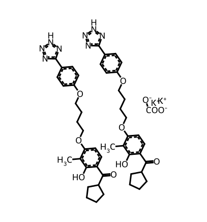 Cc1c(OCCCCOc2ccc(-c3nn[nH]n3)cc2)ccc(C(=O)C2CCCC2)c1O.Cc1c(OCCCCOc2ccc(-c3nn[nH]n3)cc2)ccc(C(=O)C2CCCC2)c1O.O=C([O-])[O-].[K+].[K+]